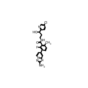 Cc1ccc(-c2ccn3nc(N)nc3c2)c(F)c1C(=O)NCCC(O)c1ccc(Cl)cn1